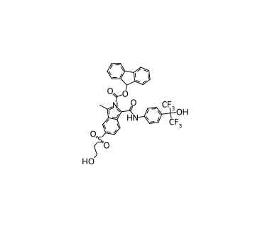 Cc1c2cc(S(=O)(=O)CCO)ccc2c(C(=O)Nc2ccc(C(O)(C(F)(F)F)C(F)(F)F)cc2)n1C(=O)OC1c2ccccc2-c2ccccc21